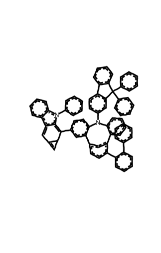 C1=C2C=c3c(n(-c4ccccc4)c4ccccc34)=C(c3ccc4c(c3)-c3ccc(-c5ccccc5-c5ccccc5)c(c3)-c3ccccc3N4c3ccc4c(c3)C(c3ccccc3)(c3ccccc3)c3ccccc3-4)C12